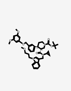 COCCCn1cc(CN(C(=O)[C@H]2CN(C(=O)OC(C)(C)C)CC[C@@H]2c2cccc(COc3cc(OC)cc(OC)c3)c2)C2CC2)c2ccccc21